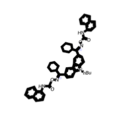 CCCCn1c2ccc(/C(=N/OC(=O)Nc3cccc4ccccc34)C3CCCCC3)cc2c2cc(/C(=N/OC(=O)Nc3cccc4ccccc34)C3CCCCC3)ccc21